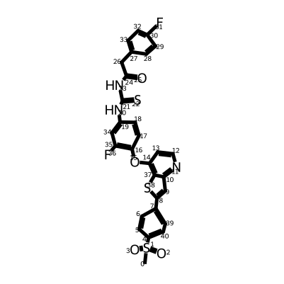 CS(=O)(=O)c1ccc(-c2cc3nccc(Oc4ccc(NC(=S)NC(=O)Cc5ccc(F)cc5)cc4F)c3s2)cc1